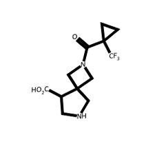 O=C(O)C1CNCC12CN(C(=O)C1(C(F)(F)F)CC1)C2